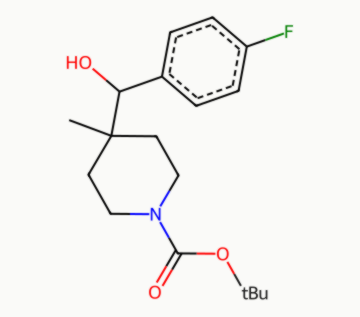 CC(C)(C)OC(=O)N1CCC(C)(C(O)c2ccc(F)cc2)CC1